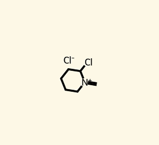 C=[N+]1CCCCC1Cl.[Cl-]